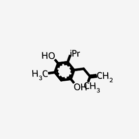 C=C(C)Cc1c(O)cc(C)c(O)c1C(C)C